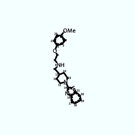 COc1ccc(OCCNCC2CCN(c3nc4ccccc4s3)CC2)cc1